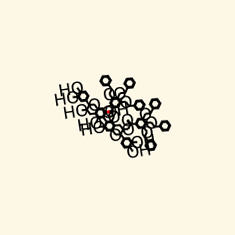 O=C(Oc1c2c(cc(O)c1-c1c(O)cc3c(c1O)CC(O)C(c1ccc(O)c(O)c1)O3)OC(c1ccc(O)c(O)c1)C(OC(=O)c1cc(OCc3ccccc3)c(OCc3ccccc3)c(OCc3ccccc3)c1)C2)c1cc(OCc2ccccc2)c(OCc2ccccc2)c(OCc2ccccc2)c1